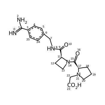 N=C(N)c1ccc(CNC(=O)[C@@H]2CCN2C(=O)[C@H]2CCCN2CC(=O)O)cc1